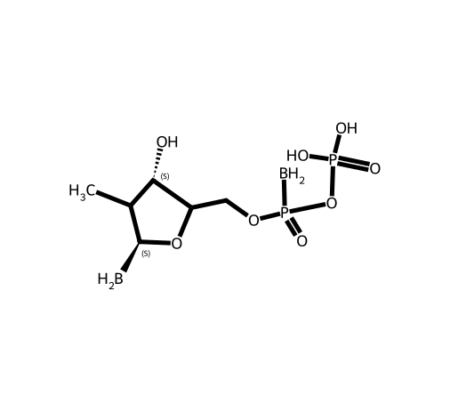 B[C@@H]1OC(COP(B)(=O)OP(=O)(O)O)[C@@H](O)C1C